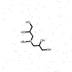 CCCCN(CC(O)CO)CC(O)CO